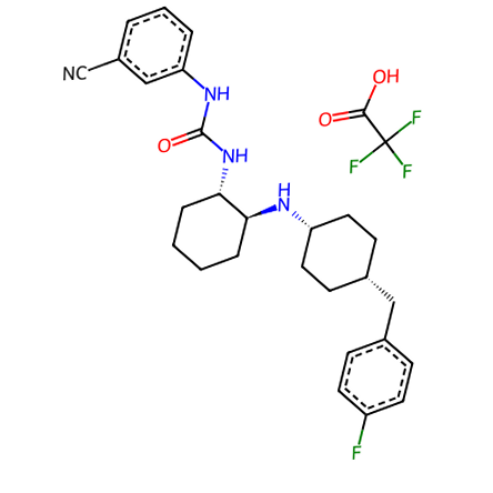 N#Cc1cccc(NC(=O)N[C@H]2CCCC[C@@H]2N[C@H]2CC[C@@H](Cc3ccc(F)cc3)CC2)c1.O=C(O)C(F)(F)F